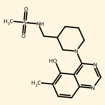 Cc1ccc2ncnc(N3CCCC(CNS(C)(=O)=O)C3)c2c1O